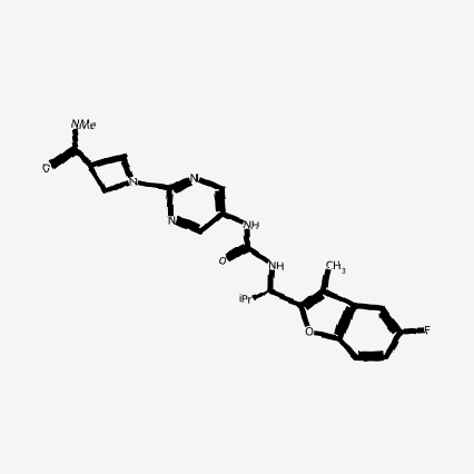 CNC(=O)C1CN(c2ncc(NC(=O)N[C@@H](c3oc4ccc(F)cc4c3C)C(C)C)cn2)C1